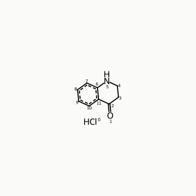 Cl.O=C1CCNc2ccccc21